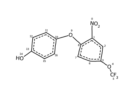 O=[N+]([O-])c1cc(OC(F)(F)F)ccc1Oc1ccc(O)cc1